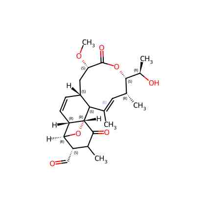 CO[C@H]1C[C@H]2C=C[C@H]3[C@H]4O[C@]2(/C(C)=C/[C@@H](C)[C@@H]([C@@H](C)O)OC1=O)[C@@H]3C(=O)C(C)[C@@H]4C=O